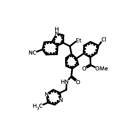 CCC(c1ccc(C(=O)NCc2cnc(C)cn2)cc1-c1ccc(Cl)cc1C(=O)OC)c1c[nH]c2cc(C#N)ccc12